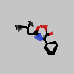 CC(C)CC(=O)N[C@@H](C(=O)O)c1ccccc1